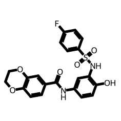 O=C(Nc1ccc(O)c(NS(=O)(=O)c2ccc(F)cc2)c1)c1ccc2c(c1)OCCO2